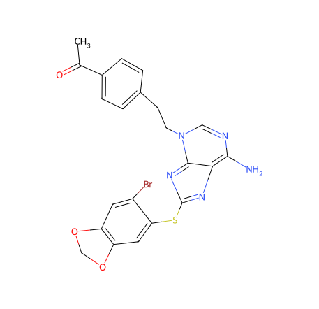 CC(=O)c1ccc(CCn2cnc(N)c3nc(Sc4cc5c(cc4Br)OCO5)nc2-3)cc1